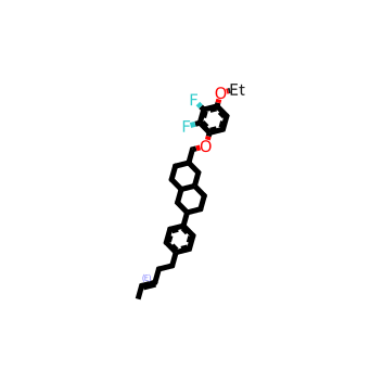 C/C=C/CCc1ccc(C2CCC3CC(COc4ccc(OCC)c(F)c4F)CCC3C2)cc1